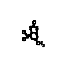 Cc1cc([N+](=O)[O-])c2sc(=O)sc2c1